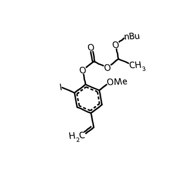 C=Cc1cc(I)c(OC(=O)OC(C)OCCCC)c(OC)c1